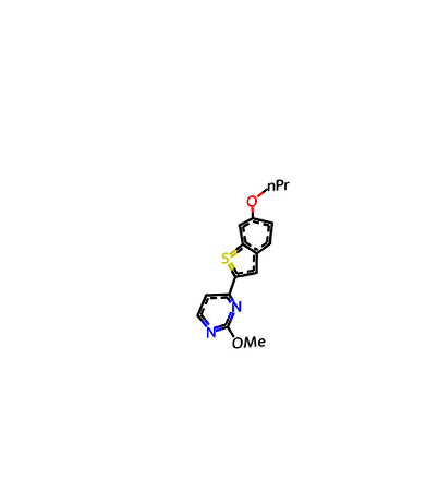 CCCOc1ccc2cc(-c3ccnc(OC)n3)sc2c1